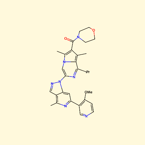 COc1ccncc1-c1cc2c(cnn2-c2cn3c(C)c(C(=O)N4CCOCC4)c(C)c3c(C(C)C)n2)c(C)n1